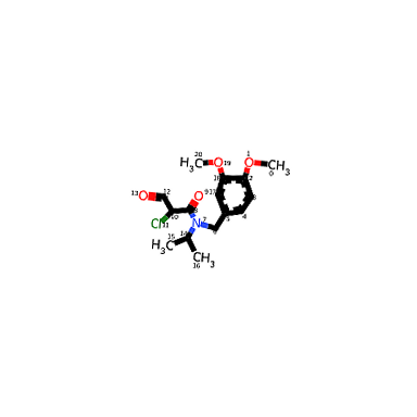 COc1ccc(CN(C(=O)C(Cl)[C]=O)C(C)C)cc1OC